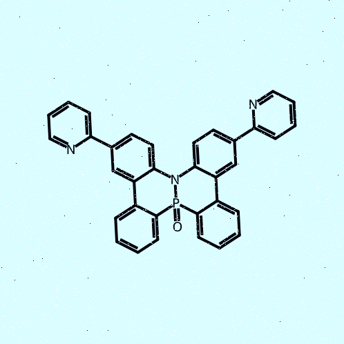 O=P12c3ccccc3-c3cc(-c4ccccn4)ccc3N1c1ccc(-c3ccccn3)cc1-c1ccccc12